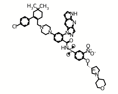 CC1(C)CCC(CN2CCN(c3ccc(C(=O)NS(=O)(=O)c4ccc(OC[C@@H]5CCN(C6CCOCC6)C5)c([N+](=O)[O-])c4)c(-n4ncc5nc6[nH]ccc6cc54)c3)CC2)=C(c2ccc(Cl)cc2)C1